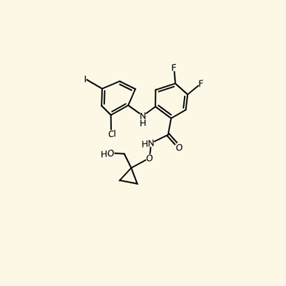 O=C(NOC1(CO)CC1)c1cc(F)c(F)cc1Nc1ccc(I)cc1Cl